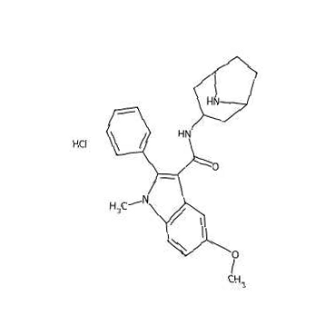 COc1ccc2c(c1)c(C(=O)NC1CC3CCC(C1)N3)c(-c1ccccc1)n2C.Cl